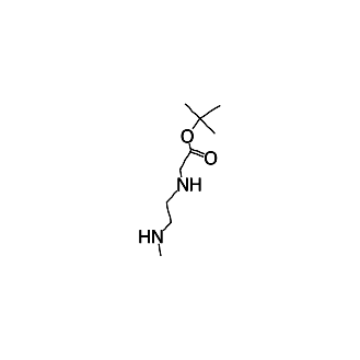 CNCCNCC(=O)OC(C)(C)C